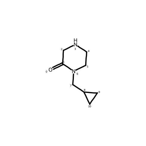 O=C1CNCCN1CC1CC1